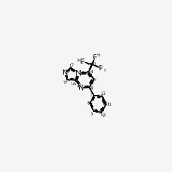 FC(F)(F)c1cc(-c2ccccc2)nc2cncn12